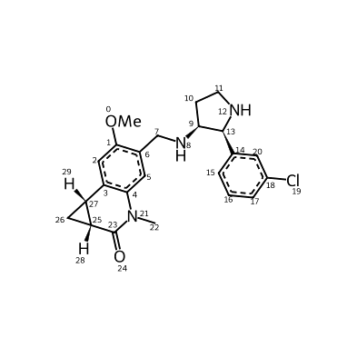 COc1cc2c(cc1CN[C@H]1CCN[C@H]1c1cccc(Cl)c1)N(C)C(=O)[C@@H]1C[C@H]21